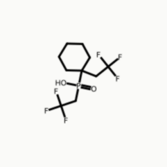 O=P(O)(CC(F)(F)F)C1(CC(F)(F)F)CCCCC1